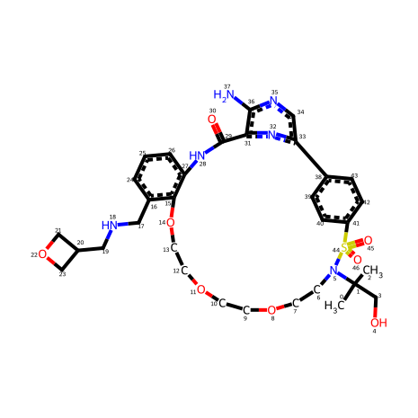 CC(C)(CO)N1CCOCCOCCOc2c(CNCC3COC3)cccc2NC(=O)c2nc(cnc2N)-c2ccc(cc2)S1(=O)=O